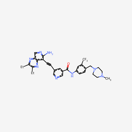 CCc1nc2cnc(N)c(C#Cc3cncc(C(=O)Nc4ccc(CN5CCN(C)CC5)c(C(F)(F)F)c4)c3)c2nc1CC